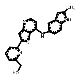 Cc1cc2cc(Nc3ccnc4cc(-c5cccc(CO)n5)sc34)ccc2[nH]1